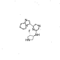 F[C@H]1CNC[C@@H]1Nc1cncc(-c2cnc3ccccn23)n1